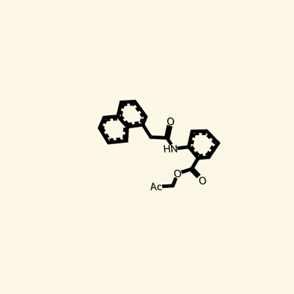 CC(=O)COC(=O)c1ccccc1NC(=O)Cc1cccc2ccccc12